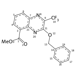 COC(=O)c1cccc2nc(C(F)(F)F)c(OCc3ccccc3)nc12